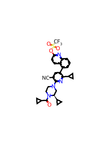 N#Cc1cc(-c2cccc3nc(OS(=O)(=O)C(F)(F)F)ccc23)c(C2CC2)nc1N1CCN(C(=O)C2CC2)[C@H](C2CC2)C1